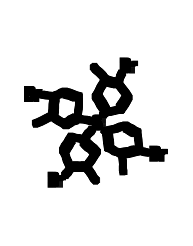 Cc1cc([Si](c2ccc(Br)c(C)c2)(c2ccc(Br)c(C)c2)c2ccc(Br)c(C)c2)ccc1Br